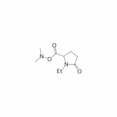 CCN1C(=O)CCC1C(=O)ON(C)C